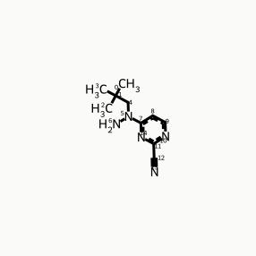 CC(C)(C)CN(N)c1ccnc(C#N)n1